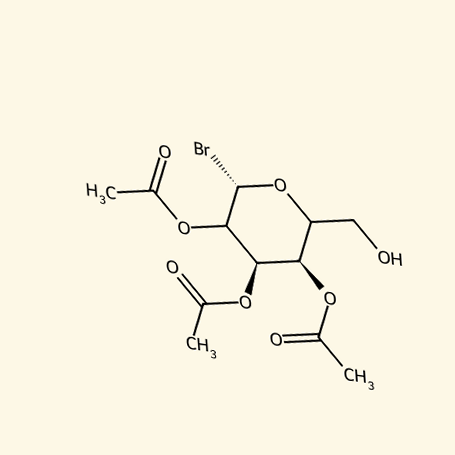 CC(=O)OC1[C@H](Br)OC(CO)[C@@H](OC(C)=O)[C@H]1OC(C)=O